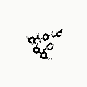 Cc1nc(CN[C@H]2CC[C@@H](NC(=O)c3cc(F)cnc3Oc3cccc(-c4ccc(O)cc4CN4CCOCC4)c3)CC2)cs1